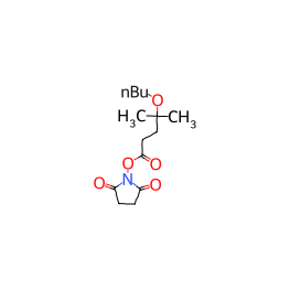 CCCCOC(C)(C)CCC(=O)ON1C(=O)CCC1=O